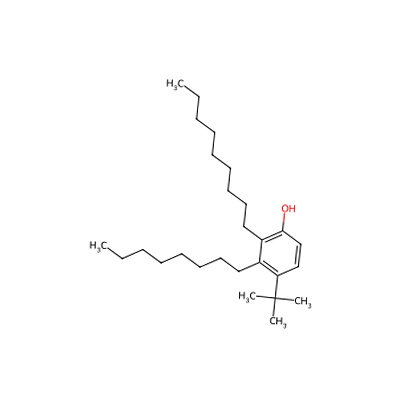 CCCCCCCCCc1c(O)ccc(C(C)(C)C)c1CCCCCCCC